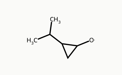 CC(C)C1CC1[O]